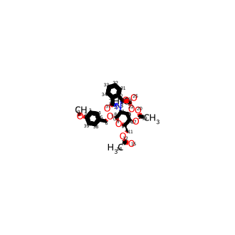 COc1ccc(CO[C@H]2O[C@H](COC(C)=O)[C@@H](OC(C)=O)[C@H](OC(C)=O)[C@@H]2N2C(=O)c3ccccc3C2=O)cc1